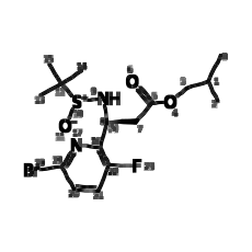 CC(C)COC(=O)C[C@H](N[S+]([O-])C(C)(C)C)c1nc(Br)ccc1F